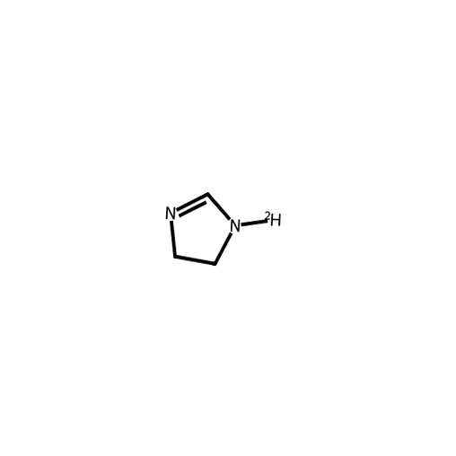 [2H]N1C=NCC1